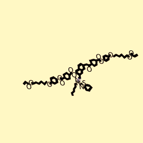 C=CC(=O)OCCCCCCOc1ccc(OC(=O)C2CCC(C(=O)Cc3ccc4cc(OC(=O)C5CCC(C(=O)Oc6ccc(OCCCCCCOC(=O)C=C)cc6)CC5)c(/C=N/N(CCCCCC)c5nc6ccccc6s5)cc4c3)CC2)cc1